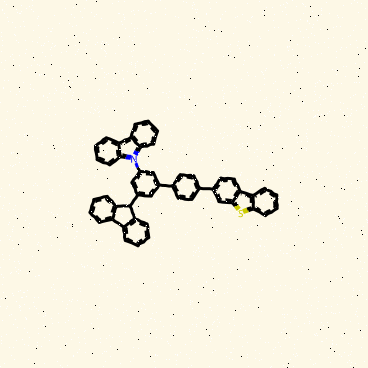 c1ccc2c(c1)-c1ccccc1C2c1cc(-c2ccc(-c3ccc4c(c3)sc3ccccc34)cc2)cc(-n2c3ccccc3c3ccccc32)c1